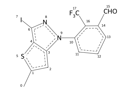 Cc1cc2c(s1)c(I)nn2-c1cccc(C=O)c1C(F)(F)F